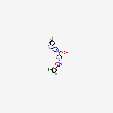 OCC(C1CCN(c2ncc(-c3cc(F)cc(F)c3)o2)CC1)N1CCC2(CC1)CNc1cc(Cl)ccc12